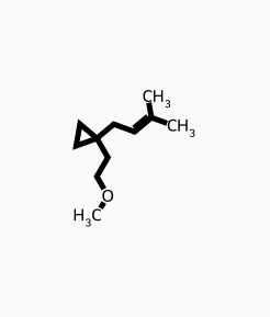 COCCC1(CC=C(C)C)CC1